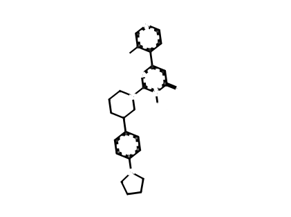 Cn1c(N2CCCC(c3ccc(N4CCCC4)cc3)C2)nc(-c2ccncc2F)cc1=O